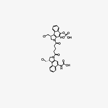 O=C(O)Nc1cc2c(c3ccccc13)[C@H](CCl)CN2C(=O)CCCC(=O)N1C[C@@H](CCl)c2c1cc(OP(=O)(O)O)c1ccccc21